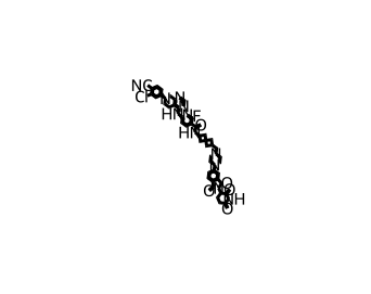 N#Cc1ccc(N2CCc3c(ncnc3Nc3ccc(C(=O)NC4CC5(CC(CN6CCN(c7ccc8c(c7)C(=O)N(C7CCC(=O)NC7=O)C8=O)CC6)C5)C4)c(F)n3)C2)cc1Cl